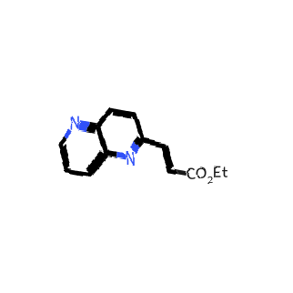 CCOC(=O)C=Cc1ccc2ncccc2n1